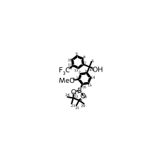 COc1cc(C(C)(O)c2cccc(C(F)(F)F)c2)ccc1B1OC(C)(C)C(C)(C)O1